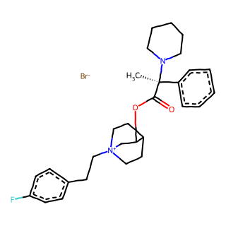 C[C@@](C(=O)OC1C[N+]2(CCc3ccc(F)cc3)CCC1CC2)(c1ccccc1)N1CCCCC1.[Br-]